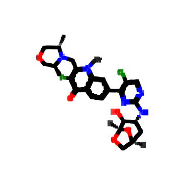 CC(C)n1c(CN2[C@@H](C)COC[C@@H]2C)c(F)c(=O)c2ccc(-c3nc(N[C@@H]4C[C@H]5CO[C@H](O5)[C@H]4O)ncc3Cl)cc21